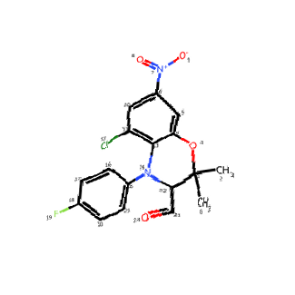 CC1(C)Oc2cc([N+](=O)[O-])cc(Cl)c2N(c2ccc(F)cc2)C1C=O